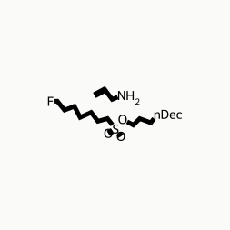 C=CCN.CCCCCCCCCCCCCOS(=O)(=O)CCCCCCCF